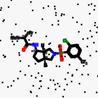 CCC[C@H](NC)C(=O)N[C@H]1CC[C@@H]2CN(S(=O)(=O)c3cc(C(F)(F)F)ccc3Cl)C[C@@H]21